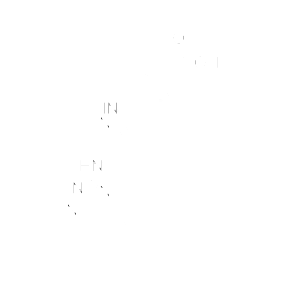 O=C(O)c1ccc(-c2cc(CNc3nncc(-c4cccc5ccccc45)n3)n[nH]2)cc1